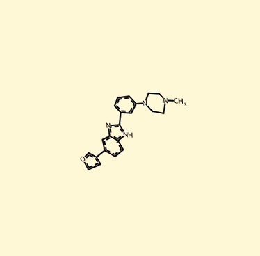 CN1CCN(c2cccc(-c3nc4cc(-c5ccoc5)ccc4[nH]3)c2)CC1